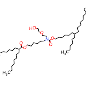 CCCCCCCCC(CCCCCC)CCCCCCOC(=O)N(CCCCCCOC(=O)C(CCCCCC)CCCCCCCC)CCOCCO